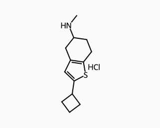 CNC1CCc2sc(C3CCC3)cc2C1.Cl